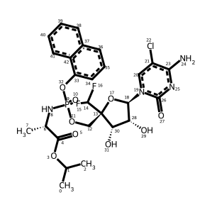 CC(C)OC(=O)[C@H](C)NP(=O)(OC[C@@]1(C(F)F)O[C@@H](n2cc(Cl)c(N)nc2=O)[C@H](O)[C@@H]1O)Oc1cccc2ccccc12